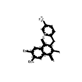 C=c1c(C)c(Cc2ccc(C(F)(F)F)cn2)c(=C)c2cc(CC)c(CC)cc12